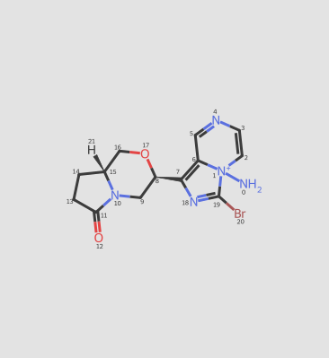 N[N+]12C=CN=CC1=C([C@H]1CN3C(=O)CC[C@@H]3CO1)N=C2Br